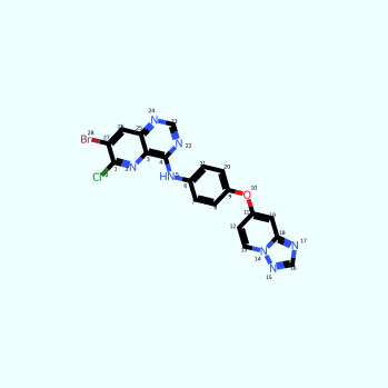 Clc1nc2c(Nc3ccc(Oc4ccn5ncnc5c4)cc3)ncnc2cc1Br